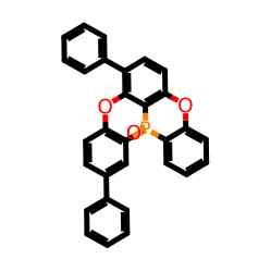 O=P12c3ccccc3Oc3ccc(-c4ccccc4)c(c31)Oc1ccc(-c3ccccc3)cc12